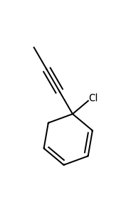 CC#CC1(Cl)C=CC=CC1